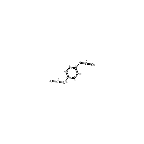 O=C=[N+]c1ccc([N+]=C=O)cc1